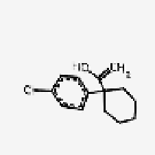 C=C(O)C1(c2ccc(Cl)cc2)CCCCC1